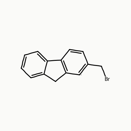 BrCc1[c]c2c(cc1)-c1ccccc1C2